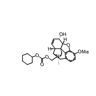 COc1ccc2c3c1O[C@H]1[C@@H](O)C=C[C@H]4C(C2)[N@+](C)(COC(=O)OC2CCCCC2)CC[C@@]341